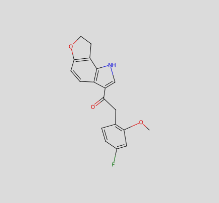 COc1cc(F)ccc1CC(=O)c1c[nH]c2c3c(ccc12)OCC3